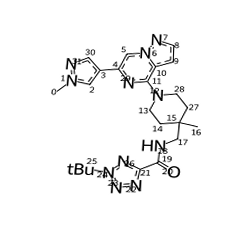 Cn1cc(-c2cn3nccc3c(N3CCC(C)(CNC(=O)c4nnn(C(C)(C)C)n4)CC3)n2)cn1